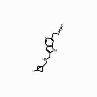 [N-]=[N+]=NCc1cc2[nH]c(CNCC34CC(F)(C3)C4)cc2cn1